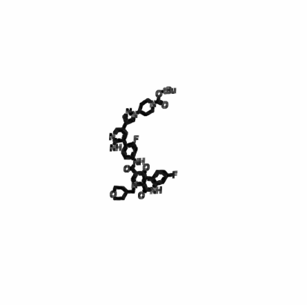 CC(C)(C)OC(=O)N1CCC(n2cc(-c3cnc(N)c(-c4ccc(NC(=O)c5cn(CC6CCOCC6)c6c(=O)[nH]c7cc(F)ccc7c6c5=O)cc4F)c3)cn2)CC1